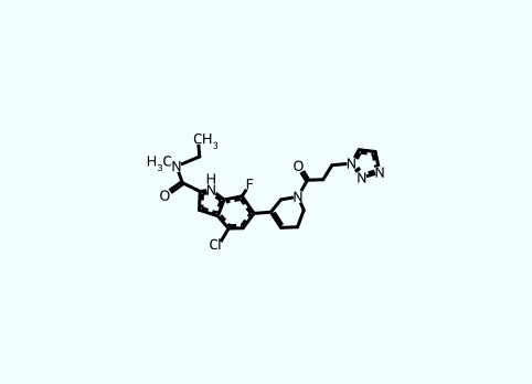 CCN(C)C(=O)c1cc2c(Cl)cc(C3=CCCN(C(=O)CCn4ccnn4)C3)c(F)c2[nH]1